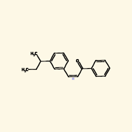 CCC(C)c1cccc(/C=C\C(=O)c2ccccc2)c1